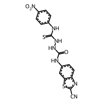 N#Cc1nc2ccc(NC(=O)NNC(=S)Nc3ccc([N+](=O)[O-])cc3)cc2s1